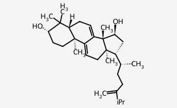 C=C(CC[C@@H](C)[C@H]1C[C@H](O)[C@@]2(C)C3=CC[C@H]4C(C)(C)[C@@H](O)CC[C@]4(C)C3=CC[C@]12C)C(C)C